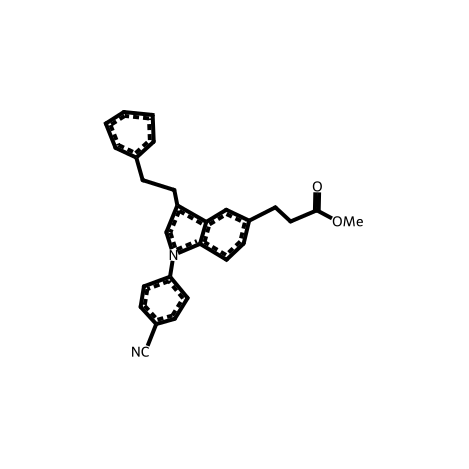 COC(=O)CCc1ccc2c(c1)c(CCc1ccccc1)cn2-c1ccc(C#N)cc1